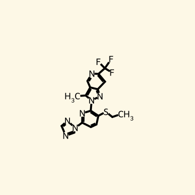 CCSc1ccc(-n2cncn2)nc1-n1nc2cc(C(F)(F)F)ncc2c1C